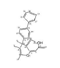 C=C(O)/C=C1/OC(C)=C(C)C(C)(c2ccc(-c3ccccc3)cc2)/C1=C/C